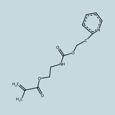 C=C(C)C(=O)OCCNC(=O)OCCc1ccccn1